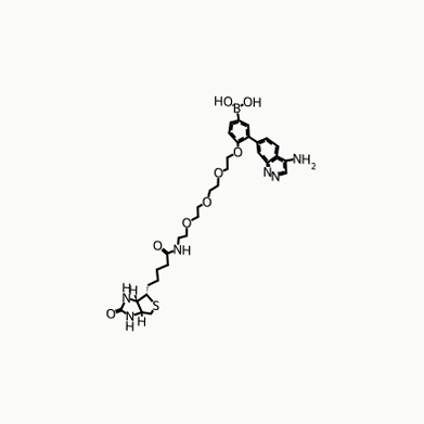 Nc1cnnc2cc(-c3cc(B(O)O)ccc3OCCOCCOCCOCCNC(=O)CCCC[C@@H]3SC[C@@H]4NC(=O)N[C@@H]43)ccc12